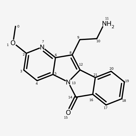 COc1ccc2c(n1)c(CCN)c1n2C(=O)c2ccccc2-1